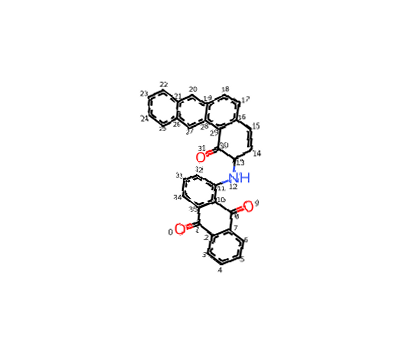 O=C1c2ccccc2C(=O)c2c(NC3C=Cc4ccc5cc6ccccc6cc5c4C3=O)cccc21